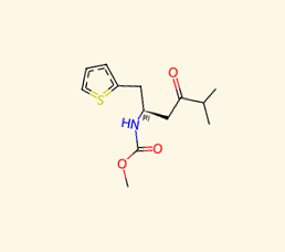 COC(=O)N[C@H](CC(=O)C(C)C)Cc1cccs1